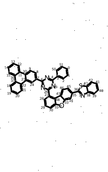 c1ccc(-c2nc(-c3ccc4c5ccccc5c5ccccc5c4c3)nc(-c3cccc4oc5cc(-c6nc7ccccc7s6)ccc5c34)n2)cc1